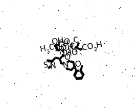 CN(CC(C)(C)O)C(=O)C(Cc1cscn1)CN1CCC2(CC1)OCc1ccccc12.O=C(O)CC(O)(CC(=O)O)C(=O)O